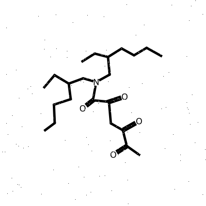 CCCCC(CC)CN(CC(CC)CCCC)C(=O)C(=O)CC(=O)C(C)=O